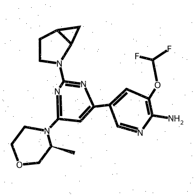 C[C@H]1COCCN1c1cc(-c2cnc(N)c(OC(F)F)c2)nc(N2CCC3CC32)n1